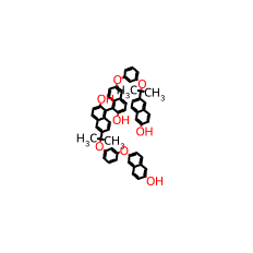 CC(C)(Oc1cccc(Oc2ccc3c(-c4c(O)ccc5cc(C(C)(C)Oc6cccc(Oc7ccc8cc(O)ccc8c7)c6)ccc45)c(O)ccc3c2)c1)c1ccc2cc(O)ccc2c1